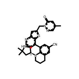 Cc1cnn(Cc2cc3nccc(-c4cc(C#N)cc5c4N([C@@H]4CNC(C)(C)C4)CCC5)c3s2)c(=O)c1